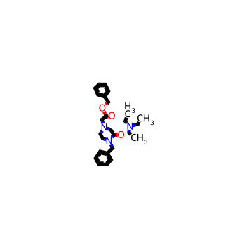 CCN(CC)CC.O=C(CN1CCN(Cc2ccccc2)C(=O)C1)OCc1ccccc1